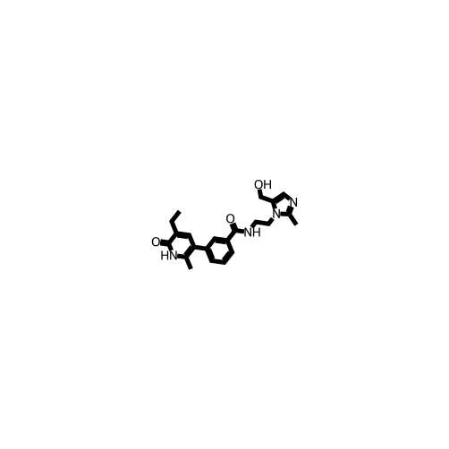 CCc1cc(-c2cccc(C(=O)NCCn3c(CO)cnc3C)c2)c(C)[nH]c1=O